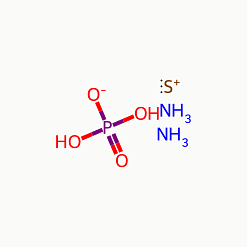 N.N.O=P([O-])(O)O.[S+]